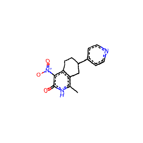 Cc1[nH]c(=O)c([N+](=O)[O-])c2c1CC(c1ccncc1)CC2